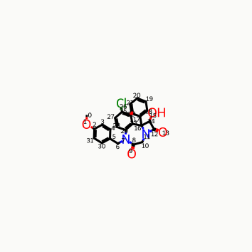 COc1ccc(CN2C(=O)CN3C(=O)C(O)C3(c3ccccc3)c3cc(Cl)ccc32)cc1